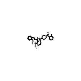 CC1=CCC=CC1C(=O)N1CCC(c2nc(-c3cc4ccccc4[nH]3)c3c(N)nccn23)CC1